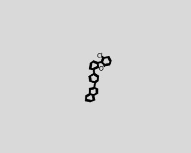 Clc1cccc2oc3c(-c4ccc(-c5ccc6ccccc6c5)cc4)cccc3c12